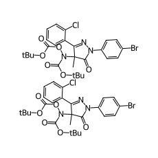 CC(C)(C)OC(=O)ON(C(=O)OC(C)(C)C)C1(C)C(=O)N(c2ccc(Br)cc2)N=C1c1ccccc1Cl.CC(C)(C)OC(=O)ON(C(=O)OC(C)(C)C)C1(C)C(=O)N(c2ccc(Br)cc2)N=C1c1ccccc1Cl